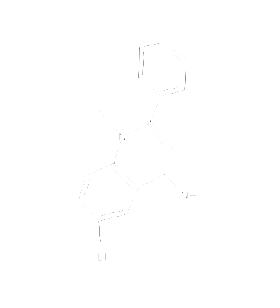 Bc1ccc(N(C)C(=O)c2ccccc2)c(CN)c1